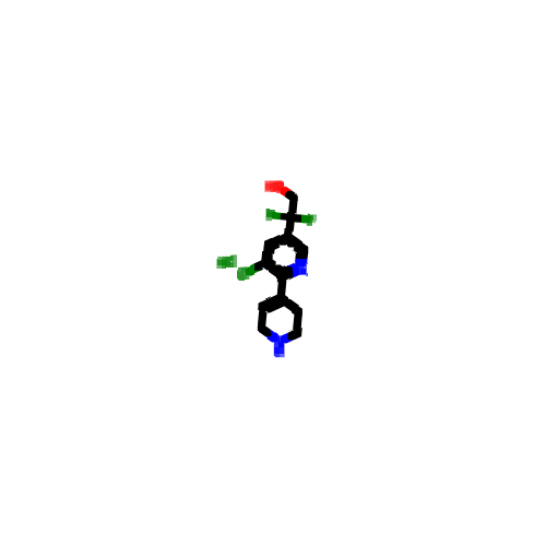 Cl.OCC(F)(F)c1cnc(C2=CCNCC2)c(Cl)c1